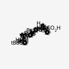 CC(C)(C)OC(=O)NC(C(=O)N1CCCC1C(=O)Nc1ccc2oc(-c3ccc(NC(=O)[C@@H]4CCCN4C(=O)[C@H](NC(=O)O)c4ccccc4)cc3)c(Br)c2c1)c1ccccc1